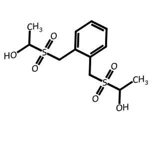 CC(O)S(=O)(=O)Cc1ccccc1CS(=O)(=O)C(C)O